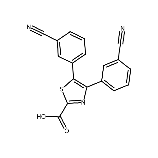 N#Cc1cccc(-c2nc(C(=O)O)sc2-c2cccc(C#N)c2)c1